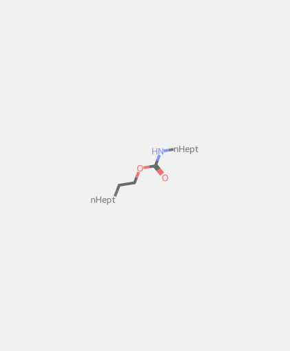 CCCCCCCCCOC(=O)NCCCCCCC